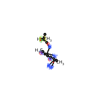 Cc1ccc2c(c1)C(CCCCCCN=[N+]=[N-])(CCCCCCN=[N+]=[N-])c1cc(-c3ccc(-c4ccc5c(c4)C(CCCCCCN=[N+]=[N-])(CCCCCCn4cc(COc6ccc(C7=CC8=C9C(=C%10C=C(c%11ccccc%11)SC%10(C)C8(C)S7)C(F)(F)C(F)(F)C9(F)F)cc6)nn4)c4cc(-c6ccc(C)c7nonc67)ccc4-5)c4nonc34)ccc1-2